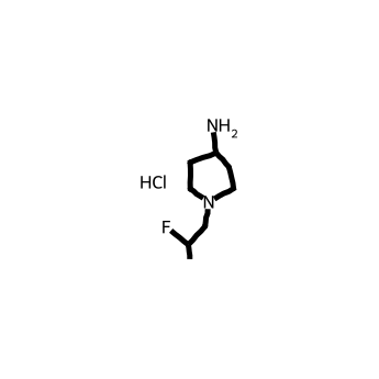 CC(F)CN1CCC(N)CC1.Cl